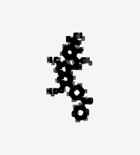 COc1nc2nc(C)nc(N[C@H](C)c3cccc(C(C)(F)F)c3F)c2cc1N1CCN(C(=O)[C@H]2COCCO2)CC1